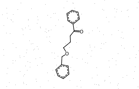 O=C(CCCOCc1ccccc1)c1ccccc1